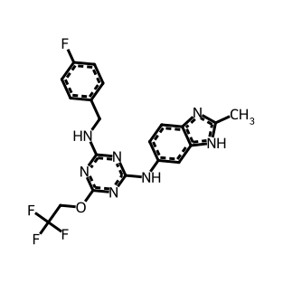 Cc1nc2ccc(Nc3nc(NCc4ccc(F)cc4)nc(OCC(F)(F)F)n3)cc2[nH]1